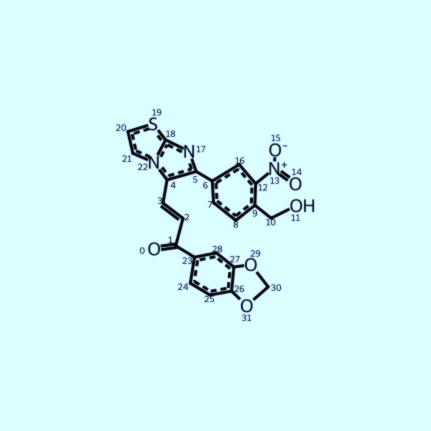 O=C(/C=C/c1c(-c2ccc(CO)c([N+](=O)[O-])c2)nc2sccn12)c1ccc2c(c1)OCO2